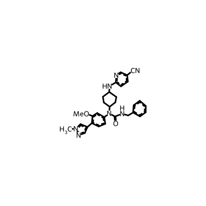 COc1cc(N(C(=O)NCc2ccccc2)C2CCC(Nc3ccc(C#N)cn3)CC2)ccc1-c1cnn(C)c1